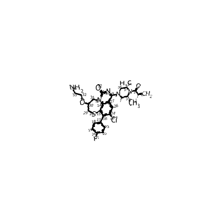 C=CC(=O)N1[C@H](C)CN(c2nc(=O)n3c4c(c(-c5ccc(F)cc5)c(Cl)cc24)SCC(OCCN)C3)C[C@@H]1C